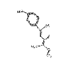 CC(=O)Oc1ccc(/C(C)=C/C(F)=C(\C)OC(F)(F)F)cc1